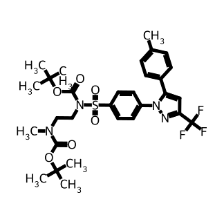 Cc1ccc(-c2cc(C(F)(F)F)nn2-c2ccc(S(=O)(=O)N(CCN(C)C(=O)OC(C)(C)C)C(=O)OC(C)(C)C)cc2)cc1